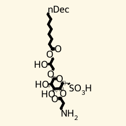 CCCCCCCCCCCCCCCCCC(=O)OCC(O)CO[C@@H]1O[C@H](CS(=O)(=O)O)[C@@H](OC(=O)CCN)[C@H](O)[C@H]1O